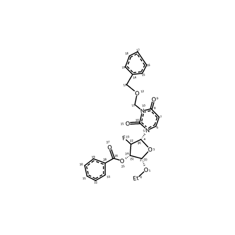 CCO[C@H]1O[C@@H](n2ccc(=O)n(COCc3ccccc3)c2=O)C(F)[C@H]1OC(=O)c1ccccc1